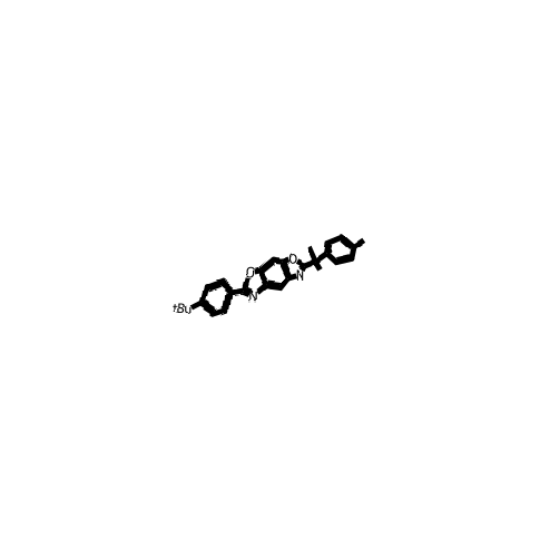 Cc1ccc(C(C)(C)c2nc3cc4nc(-c5ccc(C(C)(C)C)cc5)oc4cc3o2)cc1